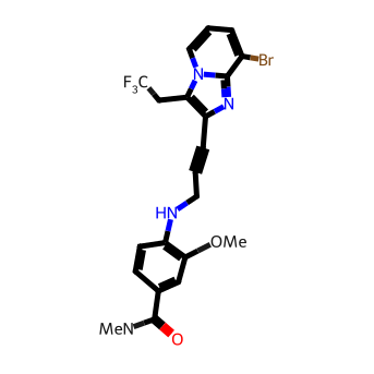 CNC(=O)c1ccc(NCC#Cc2nc3c(Br)cccn3c2CC(F)(F)F)c(OC)c1